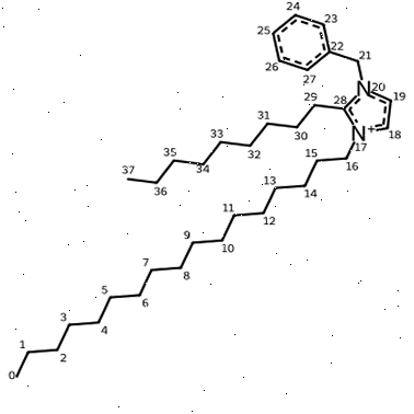 CCCCCCCCCCCCCCCCC[n+]1ccn(Cc2ccccc2)c1CCCCCCCCC